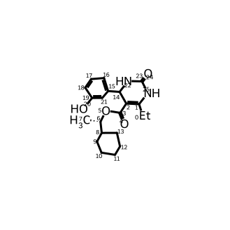 CCC1=C(C(=O)O[C@@H](C)C2CCCCC2)C(c2cccc(O)c2)NC(=O)N1